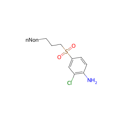 CCCCCCCCCCCCS(=O)(=O)c1ccc(N)c(Cl)c1